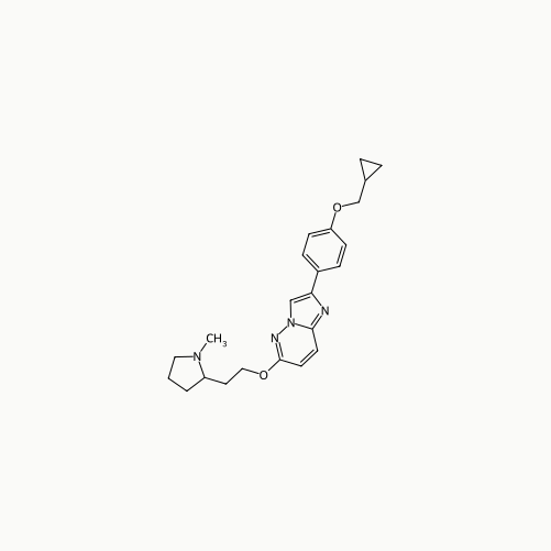 CN1CCCC1CCOc1ccc2nc(-c3ccc(OCC4CC4)cc3)cn2n1